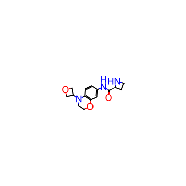 O=C(Nc1ccc2c(c1)OCCN2C1COC1)[C@@H]1CCN1